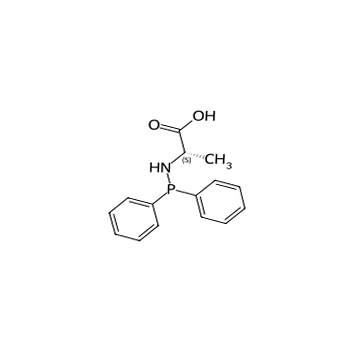 C[C@H](NP(c1ccccc1)c1ccccc1)C(=O)O